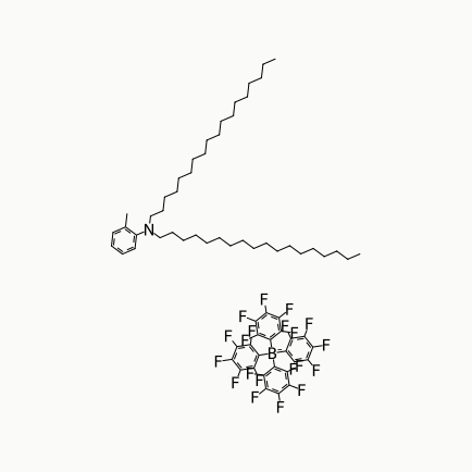 CCCCCCCCCCCCCCCCCCN(CCCCCCCCCCCCCCCCCC)c1ccccc1C.Fc1c(F)c(F)c([B-](c2c(F)c(F)c(F)c(F)c2F)(c2c(F)c(F)c(F)c(F)c2F)c2c(F)c(F)c(F)c(F)c2F)c(F)c1F